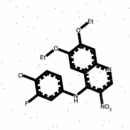 CCOc1cc2ncc([N+](=O)[O-])c(Nc3ccc(Cl)c(F)c3)c2cc1OCC